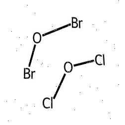 BrOBr.ClOCl